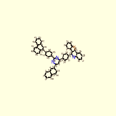 c1ccc2cc(-c3cc(-c4ccc(-c5nc6ccccc6c6sc7ccccc7c56)cc4)nc(-c4ccc(-c5cc6ccccc6c6ccccc56)cc4)n3)ccc2c1